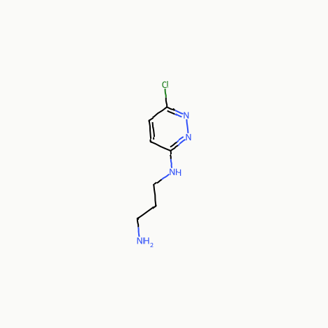 NCCCNc1ccc(Cl)nn1